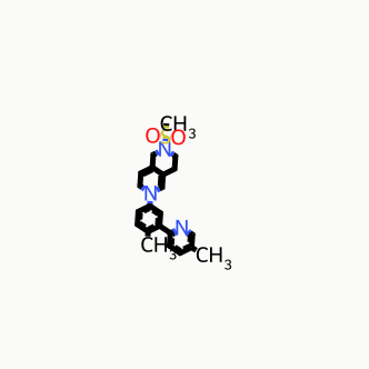 Cc1ccc(-c2cc(N3C=C4CCN(S(C)(=O)=O)CC4=CC3)ccc2C)nc1